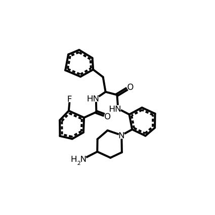 NC1CCN(c2ccccc2NC(=O)C(Cc2ccccc2)NC(=O)c2ccccc2F)CC1